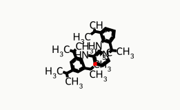 CC(C)c1cc(C(C)C)c(Nc2cccnc2Nc2c(C(C)C)cccc2C(C)C)c(C(C)C)c1